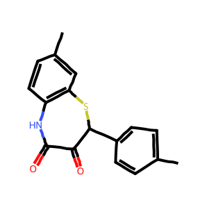 Cc1ccc(C2Sc3cc(C)ccc3NC(=O)C2=O)cc1